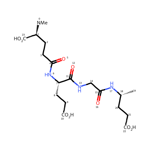 CN[C@@H](CCC(=O)N[C@@H](CCC(=O)O)C(=O)NCC(=O)N[C@H](C)CCC(=O)O)C(=O)O